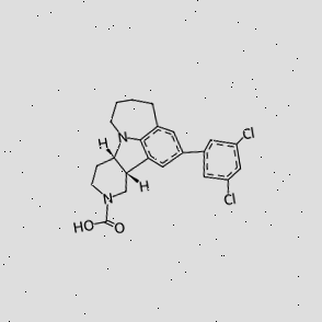 O=C(O)N1CC[C@H]2[C@@H](C1)c1cc(-c3cc(Cl)cc(Cl)c3)cc3c1N2CCCC3